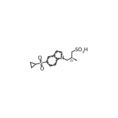 C[C@@H](Cn1ccc2cc(S(=O)(=O)C3CC3)ccc21)CS(=O)(=O)O